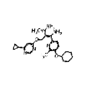 Cc1nc(/C(N)=C(\COc2cc(C3CC3)ncn2)N(C)N)ccc1OC1CCCCC1